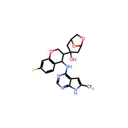 OC1(C2COc3cc(F)ccc3C2Nc2ncnc3[nH]c(C(F)(F)F)cc23)CC2COC(C1)O2